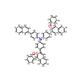 c1ccc2cc(-c3ccc(N(c4ccc(-c5cc6ccccc6c6c5oc5ccccc56)cc4)c4ccc(-c5cc6ccccc6c6c5oc5ccccc56)cc4)cc3)ccc2c1